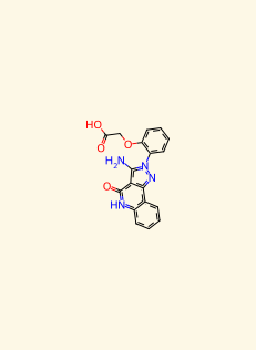 Nc1c2c(=O)[nH]c3ccccc3c2nn1-c1ccccc1OCC(=O)O